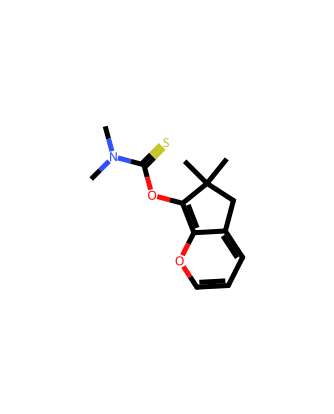 CN(C)C(=S)OC1=C2OC=CC=C2CC1(C)C